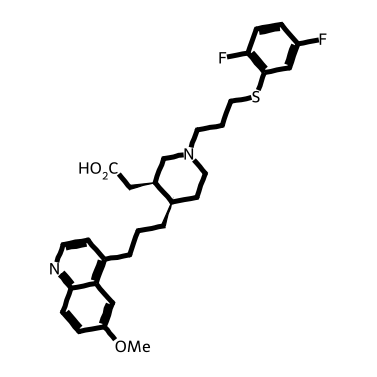 COc1ccc2nccc(CCC[C@@H]3CCN(CCCSc4cc(F)ccc4F)C[C@@H]3CC(=O)O)c2c1